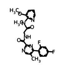 COc1cccnc1N(C)C(=O)CNC(=O)c1ncc(C)c(-c2ccc(F)cc2F)n1